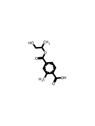 Cc1cc(C(=O)OC(C)CO)ccc1C(=O)O